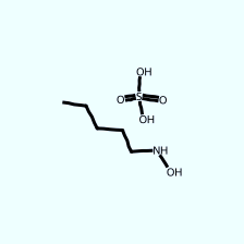 CCCCCNO.O=S(=O)(O)O